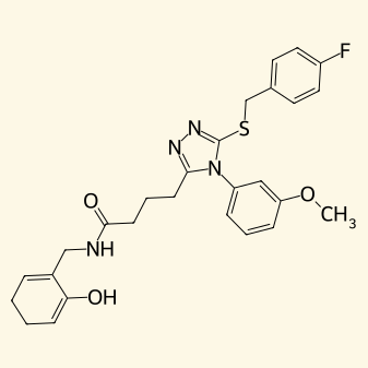 COc1cccc(-n2c(CCCC(=O)NCC3=CCCC=C3O)nnc2SCc2ccc(F)cc2)c1